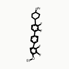 CCCC1CCC(c2ccc(-c3ccc(-c4ccc(OCC)c(F)c4F)cc3)c(F)c2F)CC1